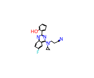 N#CCCN(c1nc(-c2ccccc2O)nc2ccc(F)cc12)C1CC1